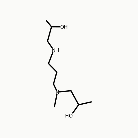 CC(O)CNCCCN(C)CC(C)O